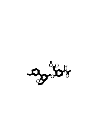 CCc1cccc(-c2cc(COc3ccc(NC(C)=O)cc3CC(=O)OC)cc3ccoc23)c1